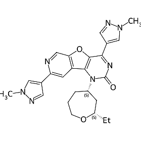 CC[C@H]1C[C@@H](n2c(=O)nc(-c3cnn(C)c3)c3oc4cnc(-c5cnn(C)c5)cc4c32)CCCO1